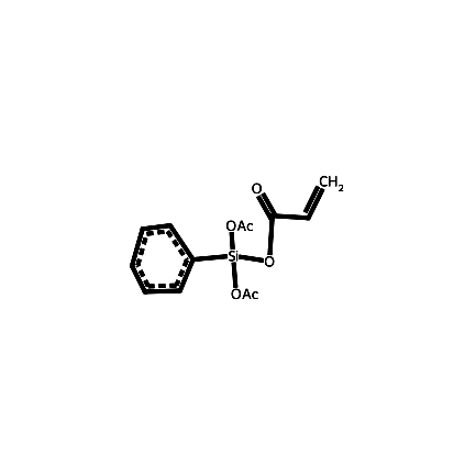 C=CC(=O)O[Si](OC(C)=O)(OC(C)=O)c1ccccc1